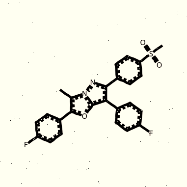 Cc1c(-c2ccc(F)cc2)oc2c(-c3ccc(F)cc3)c(-c3ccc(S(C)(=O)=O)cc3)nn12